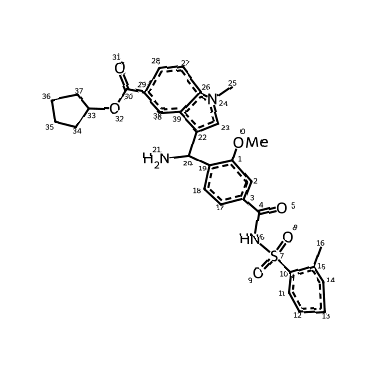 COc1cc(C(=O)NS(=O)(=O)c2ccccc2C)ccc1C(N)c1cn(C)c2ccc(C(=O)OC3CCCC3)cc12